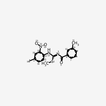 CSC(=NC(=O)c1cccc(C)c1)Nc1ccc(I)cc1[N+](=O)[O-]